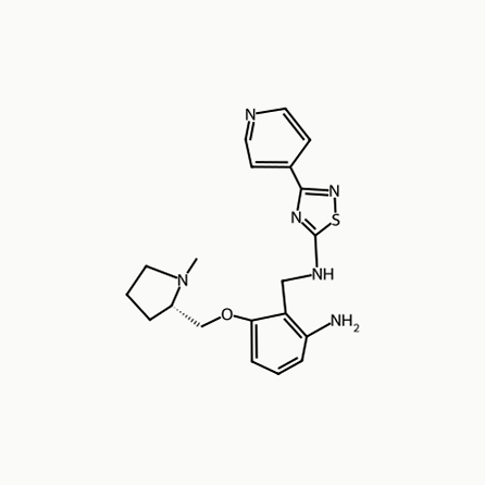 CN1CCC[C@H]1COc1cccc(N)c1CNc1nc(-c2ccncc2)ns1